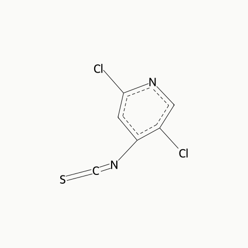 S=C=Nc1cc(Cl)ncc1Cl